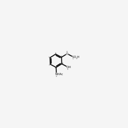 CC(=O)Nc1cccc(OS(=O)(=O)O)c1O